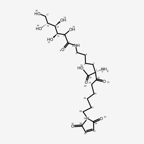 N[C@@](CCCCNC(=O)C(O)[C@@H](O)[C@H](O)[C@H](O)CO)(C(=O)O)C(=O)CCCCCN1C(=O)C=CC1=O